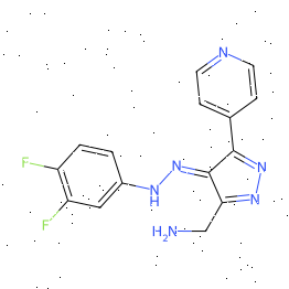 NCC1=NN=C(c2ccncc2)C1=NNc1ccc(F)c(F)c1